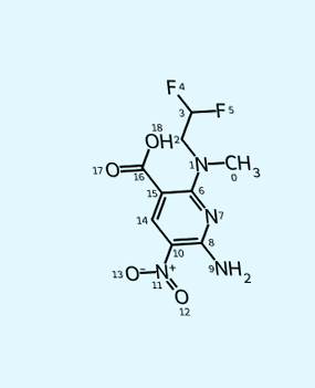 CN(CC(F)F)c1nc(N)c([N+](=O)[O-])cc1C(=O)O